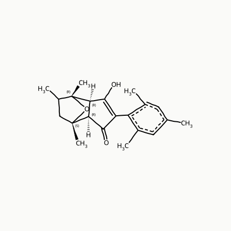 Cc1cc(C)c(C2=C(O)[C@H]3[C@@H](C2=O)[C@]2(C)CC(C)[C@@]3(C)O2)c(C)c1